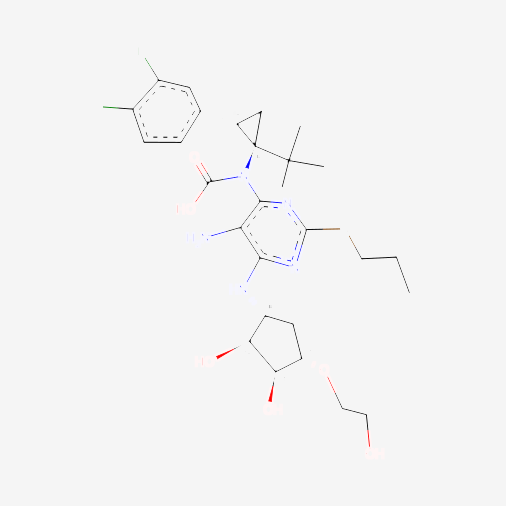 CCCSc1nc(N[C@@H]2C[C@H](OCCO)[C@@H](O)[C@H]2O)c(N)c(N(C(=O)O)[C@]2(C(C)(C)C)C[C@H]2c2ccc(F)c(F)c2)n1